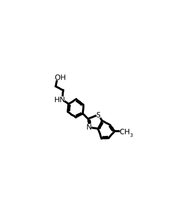 Cc1ccc2nc(-c3ccc(NCCO)cc3)sc2c1